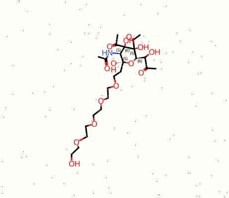 CC(=O)N[C@H]1[C@](O)(C(C)=O)[C@](O)(C(C)=O)[C@@H](C(O)C(C)=O)O[C@@]1(O)CCOCCOCCOCCOCCO